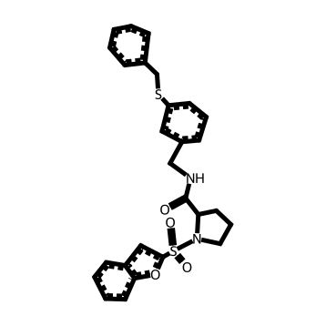 O=C(NCc1cccc(SCc2ccccc2)c1)C1CCCN1S(=O)(=O)c1cc2ccccc2o1